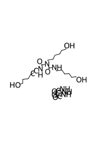 N=C=O.N=C=O.N=C=O.O=C(NCCCCCCO)N(CCCCCCO)C(=O)NCCCCCCO